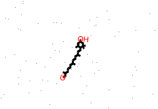 CC1=CC(O)CC(C)(C)C1/C=C/C(C)=C/C=C/C(C)=C/C=C/C=C(\C)C=O